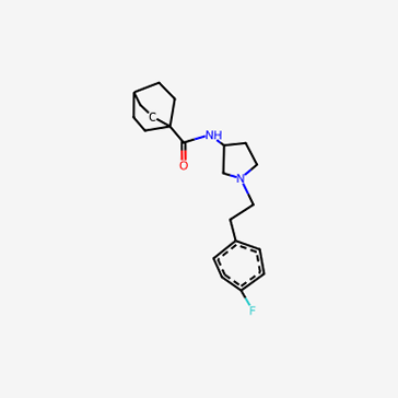 O=C(NC1CCN(CCc2ccc(F)cc2)C1)C12CCC(CC1)CC2